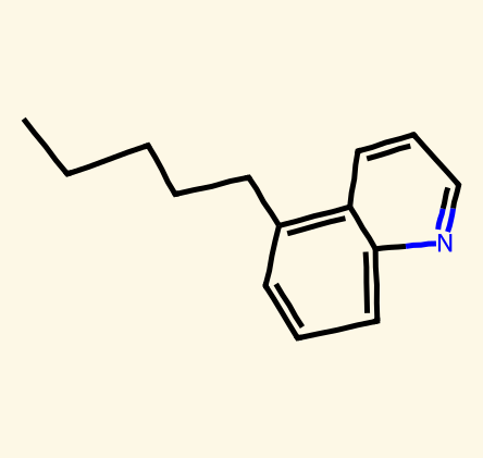 CCCCCc1cccc2ncccc12